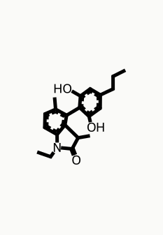 CCCc1cc(O)c(-c2c(C)ccc3c2C(C)C(=O)N3CC)c(O)c1